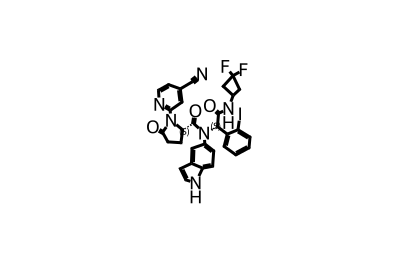 N#Cc1ccnc(N2C(=O)CC[C@H]2C(=O)N(c2ccc3[nH]ccc3c2)[C@H](C(=O)NC2CC(F)(F)C2)c2ccccc2I)c1